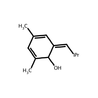 CC1=CC(=CC(C)C)C(O)C(C)=C1